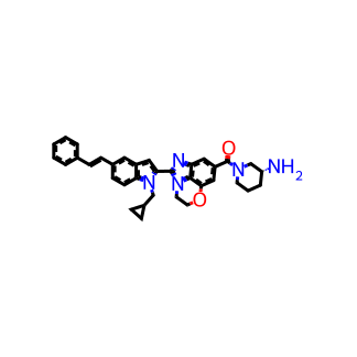 N[C@@H]1CCCN(C(=O)c2cc3c4c(c2)nc(-c2cc5cc(/C=C/c6ccccc6)ccc5n2CC2CC2)n4CCO3)C1